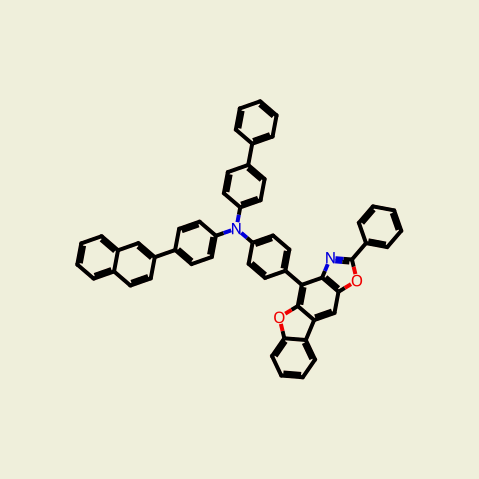 c1ccc(-c2ccc(N(c3ccc(-c4ccc5ccccc5c4)cc3)c3ccc(-c4c5nc(-c6ccccc6)oc5cc5c4oc4ccccc45)cc3)cc2)cc1